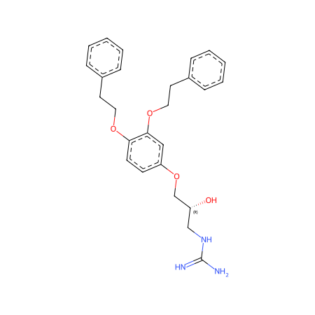 N=C(N)NC[C@@H](O)COc1ccc(OCCc2ccccc2)c(OCCc2ccccc2)c1